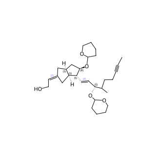 CC#CCCC(C)[C@@H](/C=C/[C@@H]1[C@H]2C/C(=C\CO)C[C@H]2C[C@H]1OC1CCCCO1)OC1CCCCO1